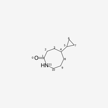 O=C1CCC(C2CC2)CCCN1